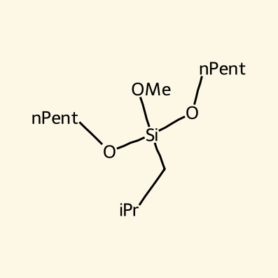 CCCCCO[Si](CC(C)C)(OC)OCCCCC